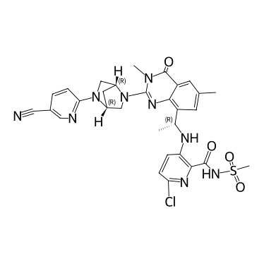 Cc1cc([C@@H](C)Nc2ccc(Cl)nc2C(=O)NS(C)(=O)=O)c2nc(N3C[C@H]4C[C@@H]3CN4c3ccc(C#N)cn3)n(C)c(=O)c2c1